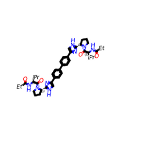 CCC(=O)N[C@H](C(=O)N1CCC[C@H]1c1nc(-c2ccc(-c3ccc(-c4c[nH]c([C@@H]5CCCN5C(=O)[C@@H](NC(=O)CC)C(C)C)n4)cc3)cc2)c[nH]1)C(C)C